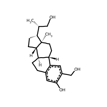 C[C@H](CO)[C@H]1CC[C@H]2[C@@H]3CCc4cc(O)c(CO)cc4[C@H]3CC[C@]12C